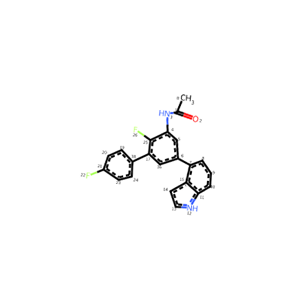 CC(=O)Nc1cc(-c2cccc3[nH]ccc23)cc(-c2ccc(F)cc2)c1F